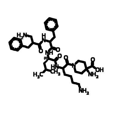 CC(C)C[C@@H](NC(=O)C(Cc1ccccc1)NC(=O)C(CN)Cc1ccccc1)C(=O)NC(CCCCN)C(=O)N1CCC(N)(C(=O)O)CC1